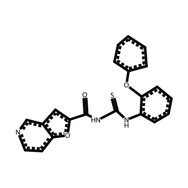 O=C(NC(=S)Nc1ccccc1Oc1ccccc1)c1cc2cnccc2o1